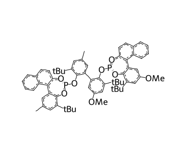 COc1cc(-c2cc(C)cc(C(C)(C)C)c2Op2oc3ccc4ccccc4c3c3cc(C)cc(C(C)(C)C)c3o2)c(Op2oc3ccc4ccccc4c3c3cc(OC)cc(C(C)(C)C)c3o2)c(C(C)(C)C)c1